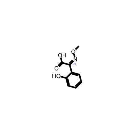 CO/N=C(\C(=O)O)c1ccccc1O